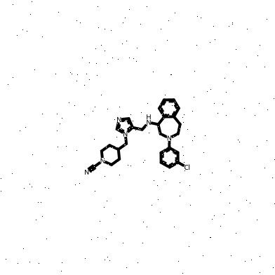 N#CN1CCC(Cn2cncc2CNC2CN(c3cccc(Cl)c3)CCc3ccccc32)CC1